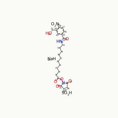 O=C(CCCCCCCCCCNC(=O)c1ccc([N+](=O)[O-])c(CO)c1)ON1C(=O)CC(S(=O)(=O)O)C1=O.[NaH]